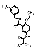 CCOc1ccc(NC(=O)C(C)C)cc1C(=O)NCc1cccc(C)c1